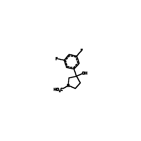 O=C(O)N1CCC(O)(c2cc(F)cc(F)c2)C1